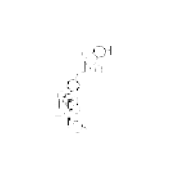 COc1ccc(Br)cc1C(=O)NCCc1ccc(S(=O)(=O)NC(=O)NN2CCCC(C)(C)C2)cc1